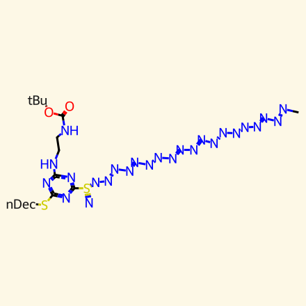 CCCCCCCCCCSc1nc(NCCNC(=O)OC(C)(C)C)nc(S(#N)=NN=NN=NN=NN=NN=NN=NN=NN=NN=NC)n1